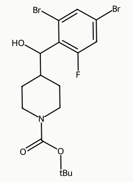 CC(C)(C)OC(=O)N1CCC(C(O)c2c(F)cc(Br)cc2Br)CC1